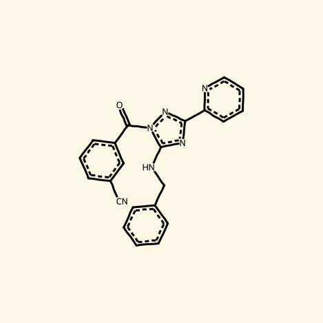 N#Cc1cccc(C(=O)n2nc(-c3ccccn3)nc2NCc2ccccc2)c1